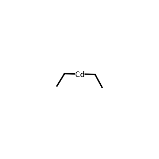 C[CH2][Cd][CH2]C